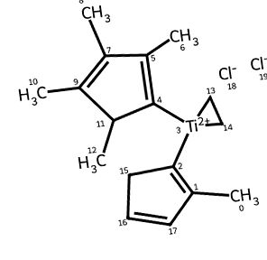 CC1=[C]([Ti+2]2([C]3=C(C)C(C)=C(C)C3C)[CH2][CH2]2)CC=C1.[Cl-].[Cl-]